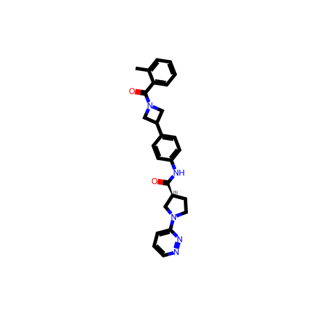 Cc1ccccc1C(=O)N1CC(c2ccc(NC(=O)[C@H]3CCN(c4cccnn4)C3)cc2)C1